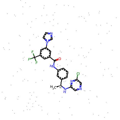 C[C@H](Nc1cncc(Cl)n1)c1cccc(NC(=O)c2cc(-n3ccnc3)cc(C(F)(F)F)c2)c1